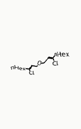 CCCCCCC(Cl)=CCOCC=C(Cl)CCCCCC